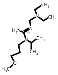 CCN(CC)C/N=C(\N)N(CCCOC)C(C)C